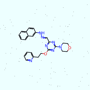 C(=N\Nc1ccc2ccccc2c1)/c1nc(OCCc2ccccn2)nc(N2CCOCC2)n1